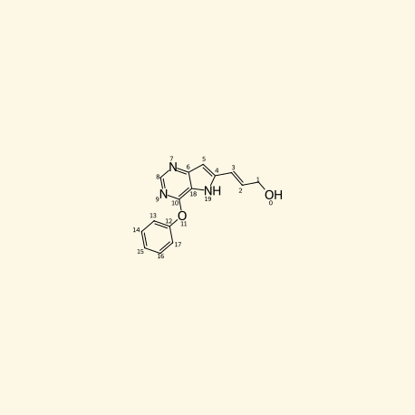 OCC=Cc1cc2ncnc(Oc3ccccc3)c2[nH]1